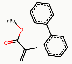 C=C(C)C(=O)OCCCC.c1ccc(-c2ccccc2)cc1